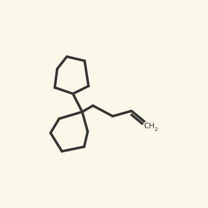 C=CCCC1(C2CCCCC2)CCCCC1